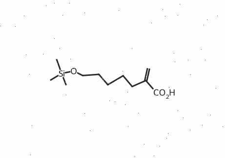 C=C(CCCCCO[Si](C)(C)C)C(=O)O